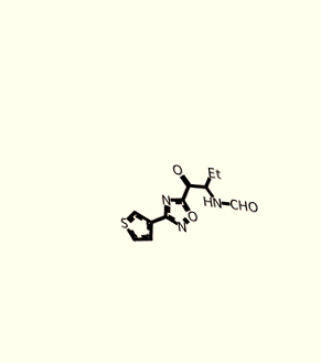 CCC(NC=O)C(=O)c1nc(-c2ccsc2)no1